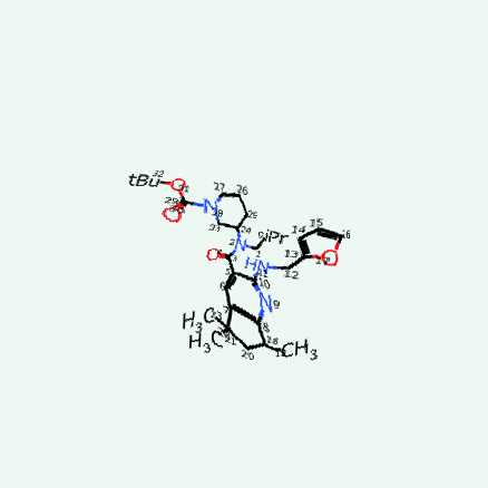 CC(C)CN(C(=O)c1cc2c(nc1NCc1ccco1)C(C)CC2(C)C)C1CCCN(C(=O)OC(C)(C)C)C1